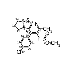 COC(=O)Cc1c(C)nc2sc3c(c2c1-c1ccc(Cl)cc1)CCC3